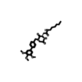 CCCCCCNC(=O)C[C@@H]1NC(=O)CN(Cc2ccc(-c3cc(OC)c(OC)c(OC)c3)cc2)C1=O